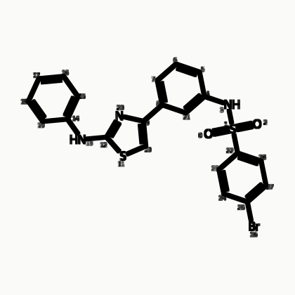 O=S(=O)(Nc1cccc(-c2csc(Nc3ccccc3)n2)c1)c1ccc(Br)cc1